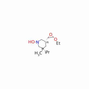 CCOC1OC1[C@H]1CN(O)C[C@@](C)(C(C)C)C1